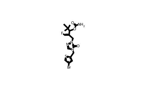 CC(C)(C)C(OC(N)=O)C(=CF)Cn1ncn(Cc2cc(Br)cs2)c1=O